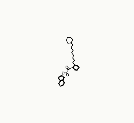 O=C(Oc1ccc2ccccc2c1)[C@@H]1O[C@H]1c1ccccc1CCCCCCCCC1CCCCC1